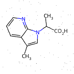 Cc1cn(C(C)C(=O)O)c2ncccc12